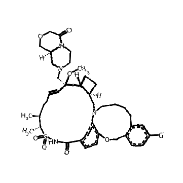 CO[C@]1(CN2CCN3C(=O)COC[C@@H]3C2)/C=C/C[C@H](C)[C@@H](C)S(=O)(=O)NC(=O)c2ccc3c(c2)N(CCCCc2cc(Cl)ccc2CO3)C[C@@H]2CC[C@H]21